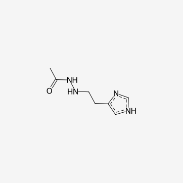 CC(=O)NNCCc1c[nH]cn1